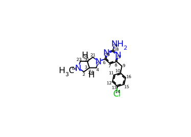 CN1C[C@@H]2CN(c3cc(Cc4ccc(Cl)cc4)nc(N)n3)C[C@@H]2C1